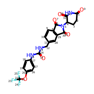 O=C1CCC(N2C(=O)c3ccc(CNC(=O)Nc4ccc(OC(F)(F)F)cc4)cc3C2=O)C(=O)N1